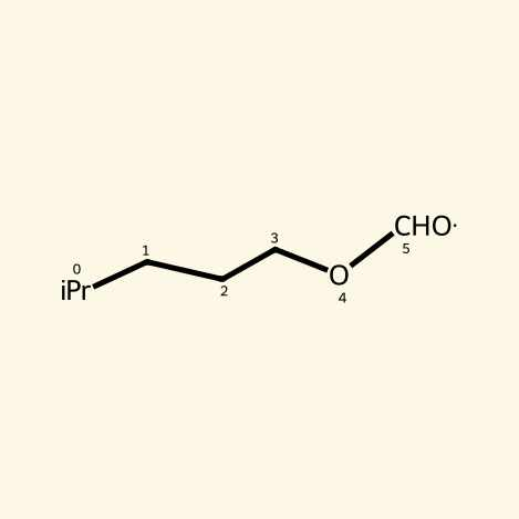 CC(C)CCCO[C]=O